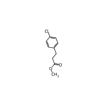 COC(=O)CCc1ccc(Cl)cc1